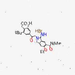 Br.CCOc1cc2c(cc1C(=O)NC)C(=N)N(CC(=O)c1ccc(CC(=O)O)c(C(C)(C)C)c1)C2